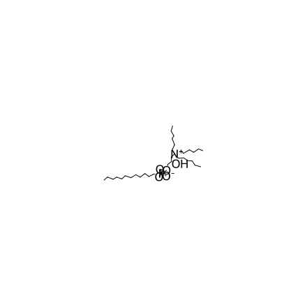 CCCCCCCCCCCCOP(=O)([O-])OCC(O)C[N+](CCCCCC)(CCCCCC)CCCCCC